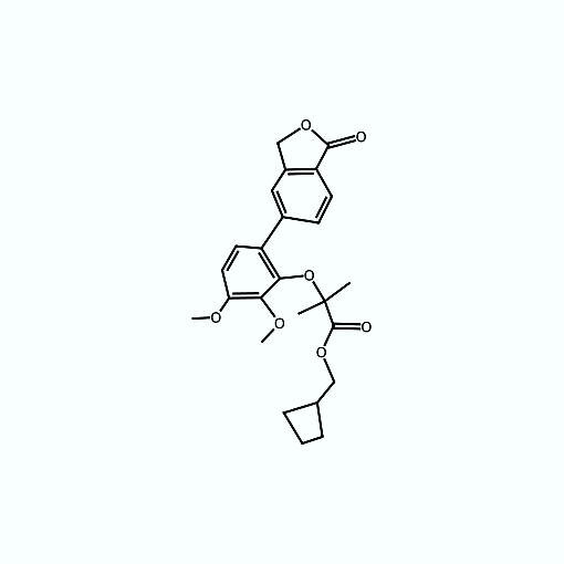 COc1ccc(-c2ccc3c(c2)COC3=O)c(OC(C)(C)C(=O)OCC2CCC2)c1OC